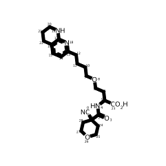 N#CC1(C(=O)NC(CCOCCCCc2ccc3c(n2)NCCC3)C(=O)O)CCOCC1